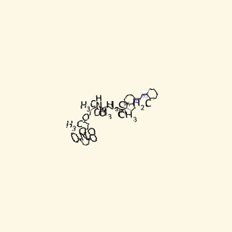 C=C1CCCC/C1=C/C=C1\CCC[C@@]2(C)C1CCC2[C@H](C)CCCC(=O)NC(C)(C)CCOC(C)CC(=O)ON1C(=O)CCC1=O